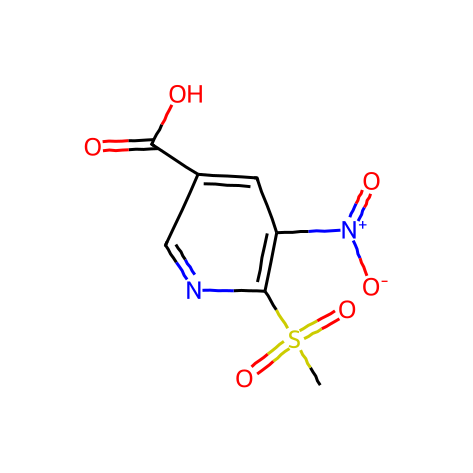 CS(=O)(=O)c1ncc(C(=O)O)cc1[N+](=O)[O-]